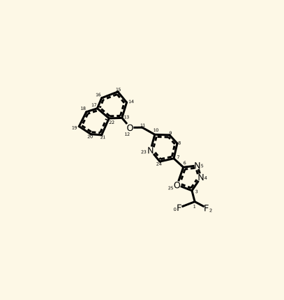 FC(F)c1nnc(-c2ccc(COc3cccc4ccccc34)nc2)o1